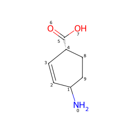 NC1C=C[C@H](C(=O)O)CC1